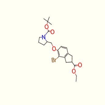 CCOC(=O)C1Cc2ccc(OCC3CCCN3C(=O)OC(C)(C)C)c(Br)c2C1